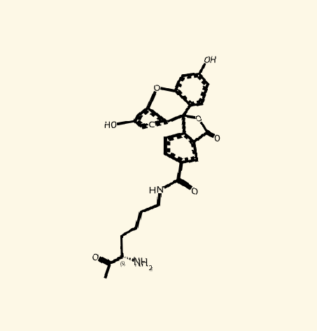 CC(=O)[C@@H](N)CCCCNC(=O)c1ccc2c(c1)C(=O)OC21c2ccc(O)cc2Oc2cc(O)ccc21